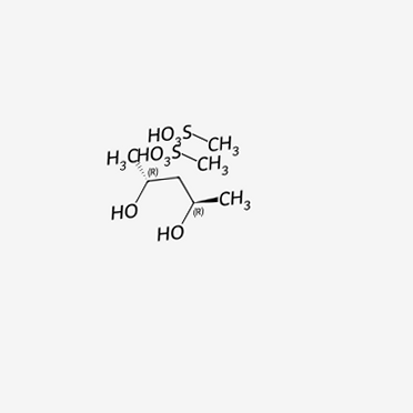 CS(=O)(=O)O.CS(=O)(=O)O.C[C@@H](O)C[C@@H](C)O